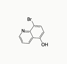 Oc1ccc(Br)c2ncccc12